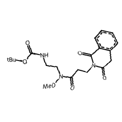 CON(CCNC(=O)OC(C)(C)C)C(=O)CCN1C(=O)Cc2ccccc2C1=O